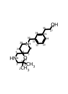 CC1(C)CNCC2(CCN(Cc3cccc(CCO)c3)CC2)O1